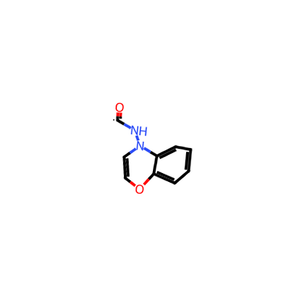 O=[C]NN1C=COc2ccccc21